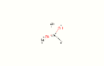 CC(=O)O.[Sc].[Zn]